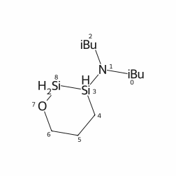 CCC(C)N(C(C)CC)[SiH]1CCCO[SiH2]1